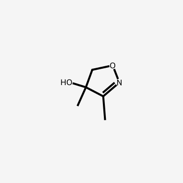 CC1=NOCC1(C)O